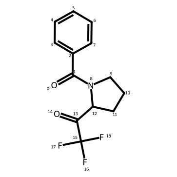 O=C(c1ccccc1)N1CCCC1C(=O)C(F)(F)F